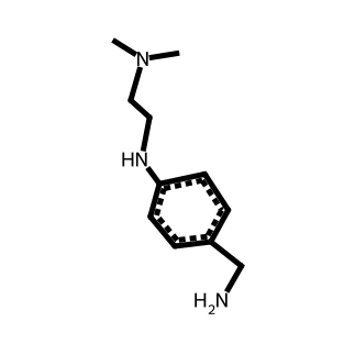 CN(C)CCNc1ccc(CN)cc1